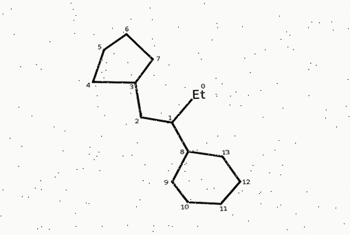 CC[C](CC1CCCC1)C1CCCCC1